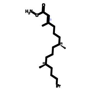 C/C(=C\C(=O)ON)CCC[C@H](C)CCC[C@H](C)CCCC(C)C